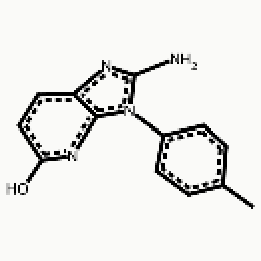 Cc1ccc(-n2c(N)nc3ccc(O)nc32)cc1